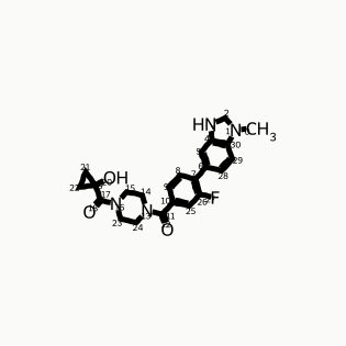 CN1CNc2cc(-c3ccc(C(=O)N4CCN(C(=O)C5(O)CC5)CC4)cc3F)ccc21